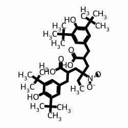 CCC(CC(Cc1cc(C(C)(C)C)c(O)c(C(C)(C)C)c1)C(=O)O)(CC(Cc1cc(C(C)(C)C)c(O)c(C(C)(C)C)c1)C(=O)O)[N+](=O)[O-]